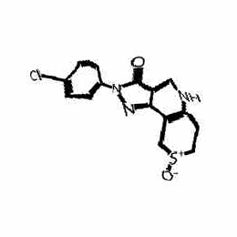 O=c1c2c[nH]c3c(c-2nn1-c1ccc(Cl)cc1)C[S+]([O-])CC3